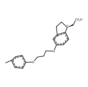 O=C(O)C[C@@H]1CCc2cc(OCCCOc3ccc(I)cc3)ccc21